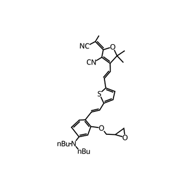 [C-]#[N+]C1=C(/C=C/c2ccc(/C=C/c3ccc(N(CCCC)CCCC)cc3OCC3CO3)s2)C(C)(C)O/C1=C(\C)C#N